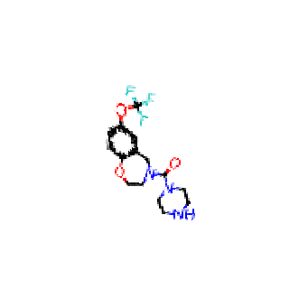 O=C(N1CCNCC1)N1CCOc2ccc(OC(F)(F)F)cc2C1